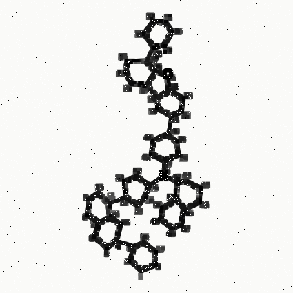 c1ccc(-c2ccc3cccc(-c4ccc(N(c5ccc(-c6ccc7oc8c(-c9ccccc9)cccc8c7c6)cc5)c5cccc6ccccc56)cc4)c3c2)cc1